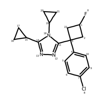 FC1CC(c2ccc(Cl)cc2)(c2nnc(C3CC3)n2C2CC2)C1